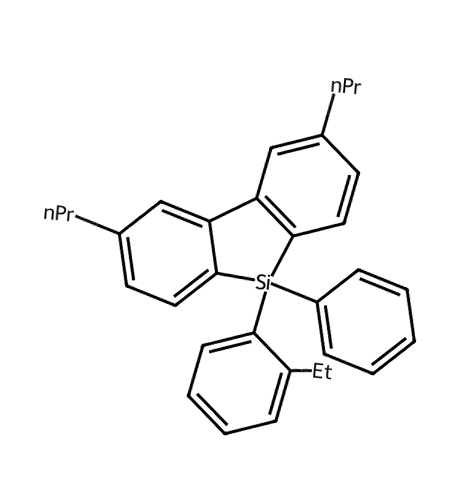 CCCc1ccc2c(c1)-c1cc(CCC)ccc1[Si]2(c1ccccc1)c1ccccc1CC